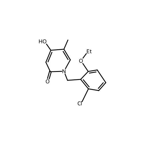 CCOc1cccc(Cl)c1Cn1cc(C)c(O)cc1=O